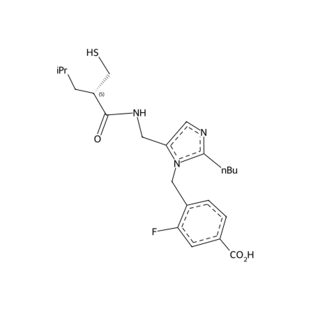 CCCCc1ncc(CNC(=O)[C@@H](CS)CC(C)C)n1Cc1ccc(C(=O)O)cc1F